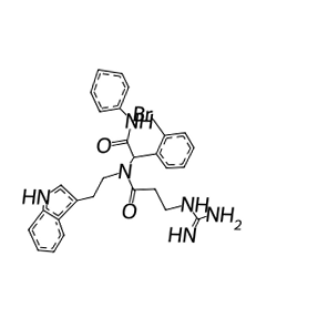 N=C(N)NCCC(=O)N(CCc1c[nH]c2ccccc12)C(C(=O)Nc1ccccc1)c1ccccc1Br